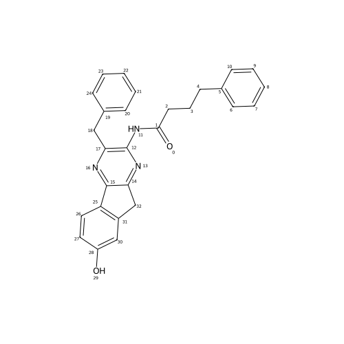 O=C(CCCc1ccccc1)Nc1nc2c(nc1Cc1ccccc1)-c1ccc(O)cc1C2